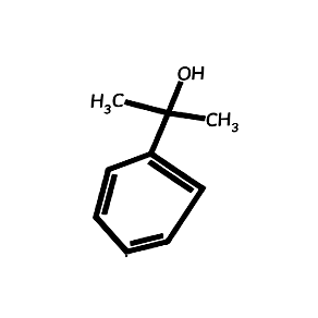 CC(C)(O)c1cc[c]cc1